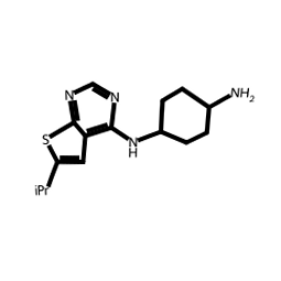 CC(C)c1cc2c(NC3CCC(N)CC3)ncnc2s1